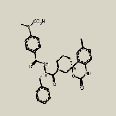 Cc1ccc2c(c1)[C@@]1(CCCN(C(=O)[C@H](Cc3ccccc3)NC(=O)c3ccc(N(C)C(=O)O)cc3)C1)OC(=O)N2